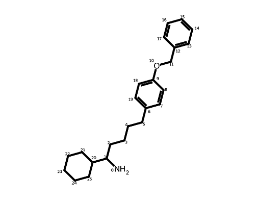 NC(CCCCc1ccc(OCc2ccccc2)cc1)C1CCCCC1